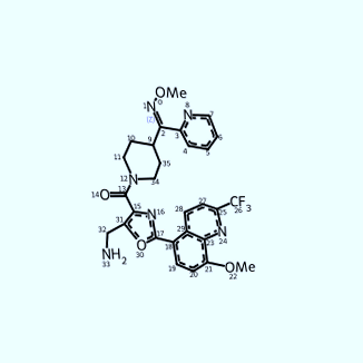 CO/N=C(\c1ccccn1)C1CCN(C(=O)c2nc(-c3ccc(OC)c4nc(C(F)(F)F)ccc34)oc2CN)CC1